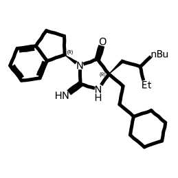 CCCCC(CC)C[C@@]1(CCC2CCCCC2)NC(=N)N([C@@H]2CCc3ccccc32)C1=O